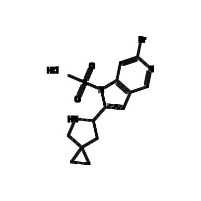 CS(=O)(=O)n1c(C2CC3(CC3)CN2)cc2cnc(Br)cc21.Cl